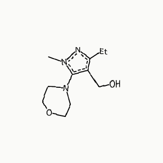 CCc1nn(C)c(N2CCOCC2)c1CO